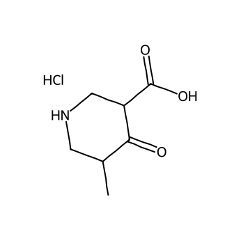 CC1CNCC(C(=O)O)C1=O.Cl